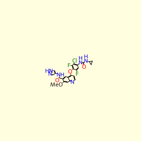 COc1cc2nccc(Oc3c(F)cc(NC(=O)NC4CC4)c(Cl)c3F)c2cc1C(=O)Nc1cn[nH]c1